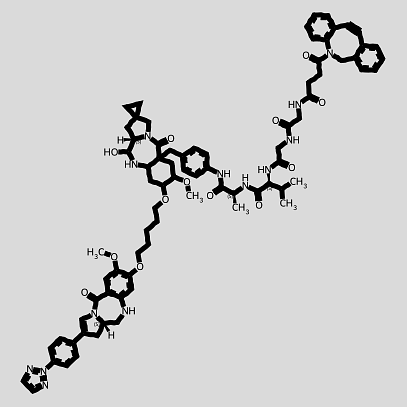 COc1cc2c(cc1OCCCCCOC1CC3NC(O)[C@@H]4CC5(CC5)CN4C(=O)C3(Cc3ccc(NC(=O)[C@H](C)NC(=O)[C@@H](NC(=O)CNC(=O)CNC(=O)CCC(=O)N4Cc5ccccc5C#Cc5ccccc54)C(C)C)cc3)CC1OC)NC[C@@H]1CC(c3ccc(-n4nccn4)cc3)=CN1C2=O